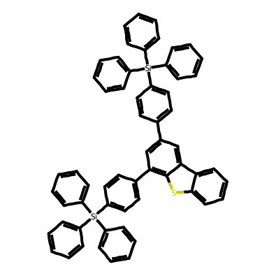 c1ccc([Si](c2ccccc2)(c2ccccc2)c2ccc(-c3cc(-c4ccc([Si](c5ccccc5)(c5ccccc5)c5ccccc5)cc4)c4sc5ccccc5c4c3)cc2)cc1